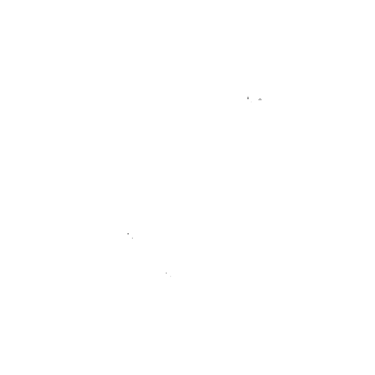 COc1cccc(C2=CC=CC3Nc4ncccc4C23)c1